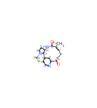 C/C1=C/CCC(=O)c2cc(ccn2)-c2c(ccn2C(F)F)NC1=O